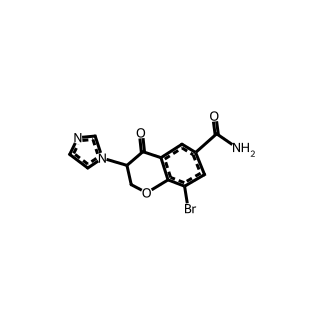 NC(=O)c1cc(Br)c2c(c1)C(=O)C(n1ccnc1)CO2